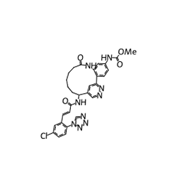 COC(=O)Nc1ccc2c(c1)NC(=O)CCCCCC(NC(=O)C=Cc1cc(Cl)ccc1-n1cnnn1)c1cnnc-2c1